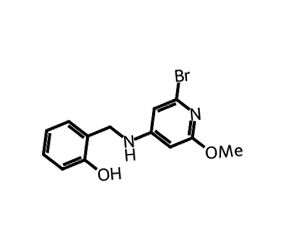 COc1cc(NCc2ccccc2O)cc(Br)n1